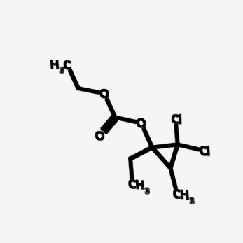 CCOC(=O)OC1(CC)C(C)C1(Cl)Cl